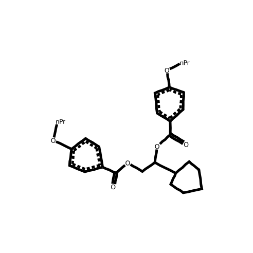 CCCOc1ccc(C(=O)OCC(OC(=O)c2ccc(OCCC)cc2)C2CCCCC2)cc1